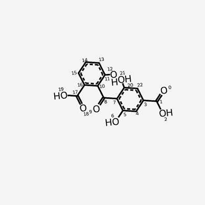 O=C(O)c1cc(O)c(C(=O)c2c(O)cccc2C(=O)O)c(O)c1